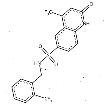 O=c1cc(C(F)(F)F)c2cc(S(=O)(=O)NCc3ccccc3C(F)(F)F)ccc2[nH]1